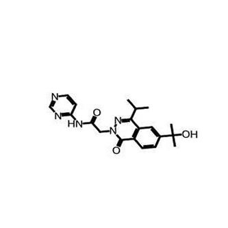 CC(C)c1nn(CC(=O)Nc2ccncn2)c(=O)c2ccc(C(C)(C)O)cc12